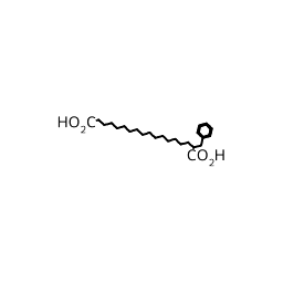 O=C(O)CCCCCCCCCCCCCCCC(Cc1ccccc1)C(=O)O